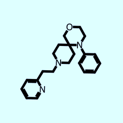 c1ccc(N2CCOCC23CCN(CCc2ccccn2)CC3)cc1